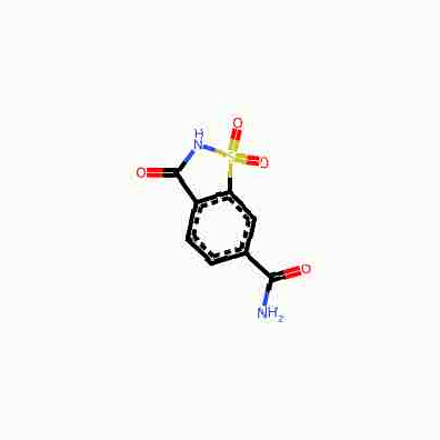 NC(=O)c1ccc2c(c1)S(=O)(=O)NC2=O